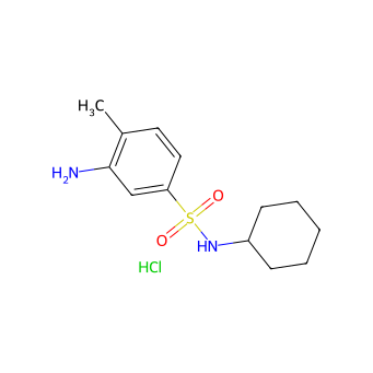 Cc1ccc(S(=O)(=O)NC2CCCCC2)cc1N.Cl